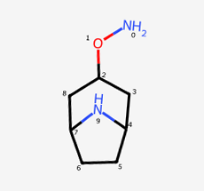 NOC1CC2CCC(C1)N2